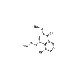 CCCCOOC(=O)c1cccc(CC)c1C(=O)OOCCCC